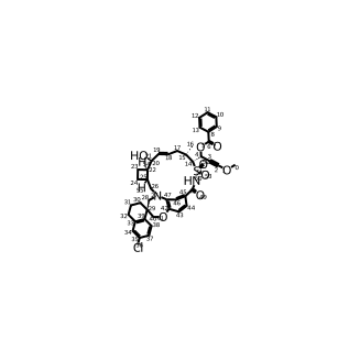 COC#CC(OC(=O)c1ccccc1)[C@H]1[C@@H](C)C/C=C/[C@H](O)[C@@H]2CC[C@H]2CN2C[C@@]3(CCCc4cc(Cl)ccc43)COc3ccc(cc32)C(=O)NS1(=O)=O